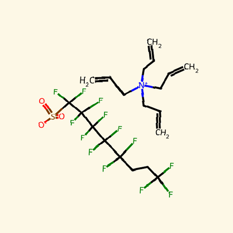 C=CC[N+](CC=C)(CC=C)CC=C.O=S(=O)([O-])C(F)(F)C(F)(F)C(F)(F)C(F)(F)C(F)(F)CCC(F)(F)F